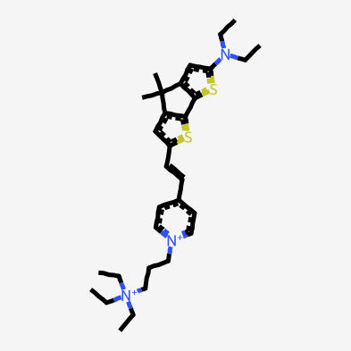 CCN(CC)c1cc2c(s1)-c1sc(/C=C/c3cc[n+](CCC[N+](CC)(CC)CC)cc3)cc1C2(C)C